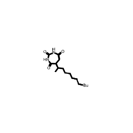 CCC(C)CCCCCCC(C)C1CC(=O)NC(=O)NC1=O